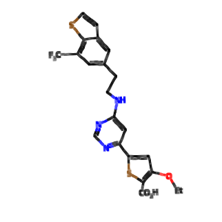 CCOc1cc(-c2cc(NCCc3cc(C(F)(F)F)c4sccc4c3)ncn2)sc1C(=O)O